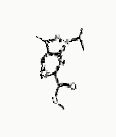 COC(=O)c1ncc2c(C)nn(C(C)C)c2n1